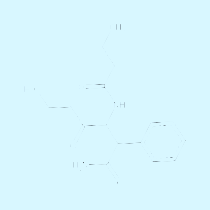 CCCC(=O)NC(C(=O)CCC)C(C(N)=O)c1ccccc1